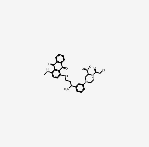 CCN(CC(NC(=O)CCl)[N+](=O)[O-])c1cccc(C(N)CCNc2ccc(NC)c3c2C(=O)c2ccccc2C3=O)c1